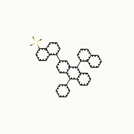 CS(C)(C)c1cccc2c(-c3ccc4c(-c5ccccc5)c5ccccc5c(-c5cccc6ccccc56)c4c3)cccc12